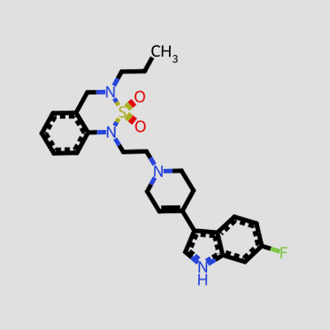 CCCN1Cc2ccccc2N(CCN2CC=C(c3c[nH]c4cc(F)ccc34)CC2)S1(=O)=O